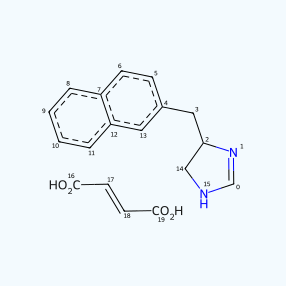 C1=NC(Cc2ccc3ccccc3c2)CN1.O=C(O)C=CC(=O)O